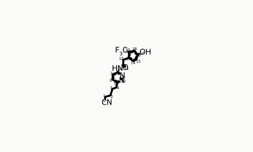 N#CCCCCc1ccc(NC(=O)Cc2ccc(O)cc2C(F)(F)F)nn1